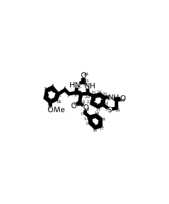 COc1cccc(CCC2=C(C(=O)OCc3ccccc3)C(c3ccc4c(c3)NC(=O)CS4)NC(=O)N2)c1